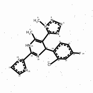 CC1=C(c2nnnn2C)C(c2ccc(F)cc2Cl)N=C(c2nccs2)N1